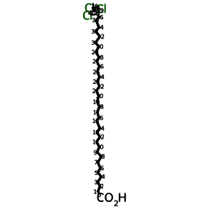 O=C(O)CCCCCCCCCCCCCCCCCCCCCCCCCCCCCCCCCCCC[Si](Cl)(Cl)Cl